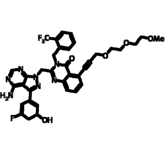 COCCOCCOCC#Cc1cccc2nc(Cn3nc(C4=CC(O)CC(F)=C4)c4c(N)ncnc43)n(Cc3ccccc3C(F)(F)F)c(=O)c12